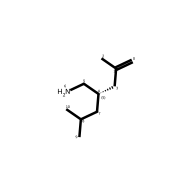 C=C(C)C[C@@H](CN)CC(C)C